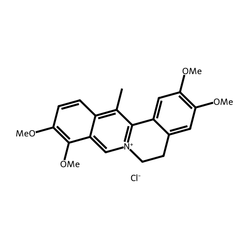 COc1cc2c(cc1OC)-c1c(C)c3ccc(OC)c(OC)c3c[n+]1CC2.[Cl-]